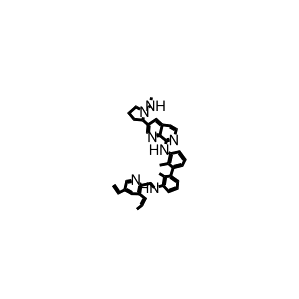 C=Cc1cnc(CNc2cccc(-c3cccc(Nc4nccc5cc(C6CCCN6NC)cnc45)c3C)c2C)c(/C=C\C)c1